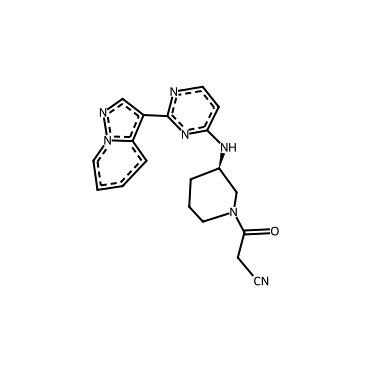 N#CCC(=O)N1CCC[C@@H](Nc2ccnc(-c3cnn4ccccc34)n2)C1